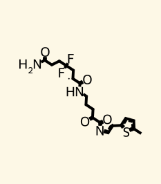 Cc1ccc(-c2cnc(C(=O)CCCNC(=O)[CH]CC(F)(F)CCC(N)=O)o2)s1